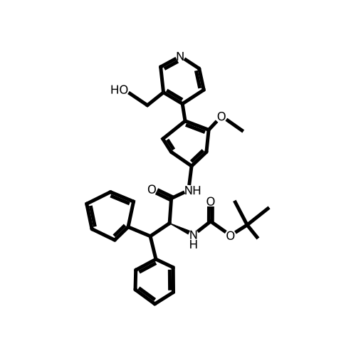 COc1cc(NC(=O)[C@@H](NC(=O)OC(C)(C)C)C(c2ccccc2)c2ccccc2)ccc1-c1ccncc1CO